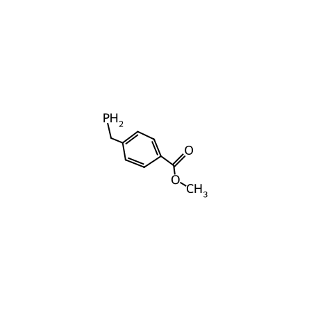 COC(=O)c1ccc(CP)cc1